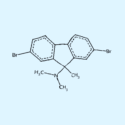 CN(C)C1(C)c2cc(Br)ccc2-c2ccc(Br)cc21